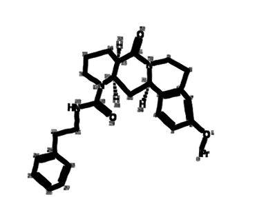 CC(C)Oc1ccc2c(c1)CCN1C(=O)[C@@H]3CCCN(C(=O)NCCc4ccccc4)[C@@H]3C[C@H]21